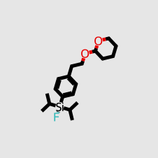 CC(C)[Si](F)(c1ccc(CCOC2CCCCO2)cc1)C(C)C